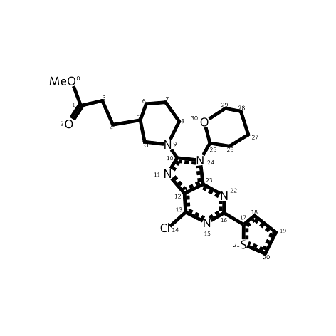 COC(=O)CCC1CCCN(c2nc3c(Cl)nc(-c4cccs4)nc3n2C2CCCCO2)C1